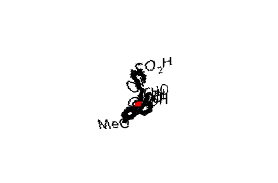 COc1ccc(S(=O)(=O)N(CCC(=O)N2CCC(C(=O)O)CC2)C(C=O)(NO)C2CCCCC2)cc1.O